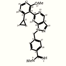 CNC(=N)c1ccc(Cn2ncc3cnc(-c4c(OC)ncnc4C4CC4)nc32)cc1